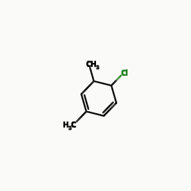 CC1=CC(C)C(Cl)C=C1